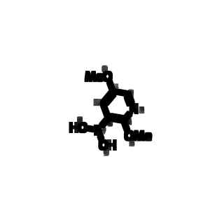 COc1cnc(OC)c(B(O)O)c1